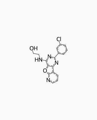 OCCNc1nc(-c2cccc(Cl)c2)nc2c1oc1ncccc12